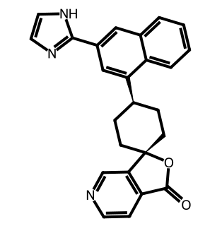 O=C1O[C@]2(CC[C@H](c3cc(-c4ncc[nH]4)cc4ccccc43)CC2)c2cnccc21